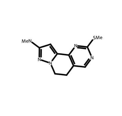 CNc1cc2n(n1)CCc1cnc(SC)nc1-2